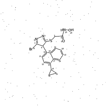 O=C(CSC1=NN=C(Br)C1c1ccc(C2CC2)c2ccccc12)NO